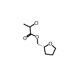 CC(Cl)C(=O)OC[C@H]1CCCO1